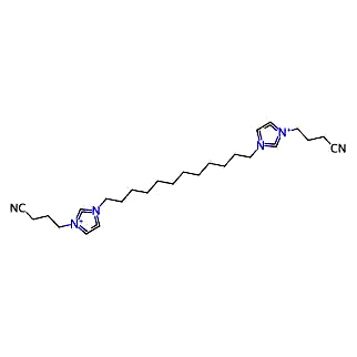 N#CCCC[n+]1ccn(CCCCCCCCCCCCn2cc[n+](CCCC#N)c2)c1